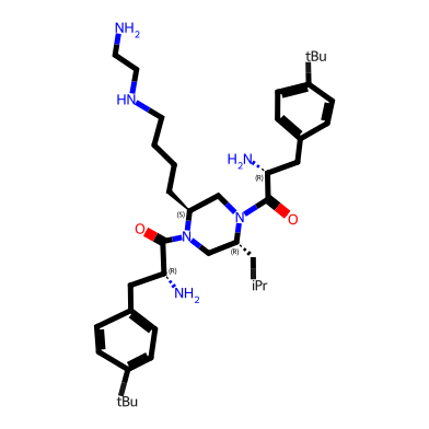 CC(C)C[C@@H]1CN(C(=O)[C@H](N)Cc2ccc(C(C)(C)C)cc2)[C@@H](CCCCNCCN)CN1C(=O)[C@H](N)Cc1ccc(C(C)(C)C)cc1